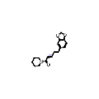 O=C(/C=C/CCc1ccc2c(c1)OCO2)N1CCCCC1